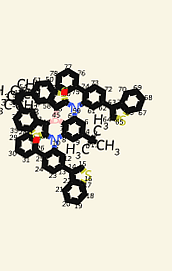 CC(C)(C)c1cc2c3c(c1)N(c1cc(-c4csc5ccccc45)ccc1-c1ccccc1)c1sc4ccc(C(C)(C)C)cc4c1B3c1c(sc3ccc(C(C)(C)C)cc13)N2c1cc(-c2csc3ccccc23)ccc1-c1ccccc1